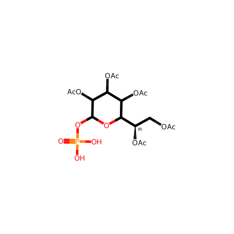 CC(=O)OC[C@@H](OC(C)=O)C1OC(OP(=O)(O)O)C(OC(C)=O)C(OC(C)=O)C1OC(C)=O